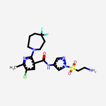 Cc1nc(N2CCCC(F)(F)CC2)c(C(=O)Nc2cnn(S(=O)(=O)CCN)c2)cc1Cl